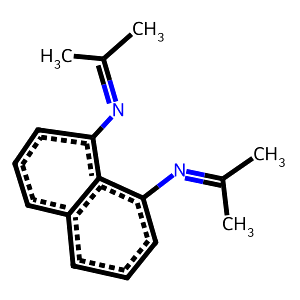 CC(C)=Nc1cccc2cccc(N=C(C)C)c12